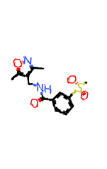 Cc1noc(C)c1CNC(=O)c1cccc(S(C)(=O)=O)c1